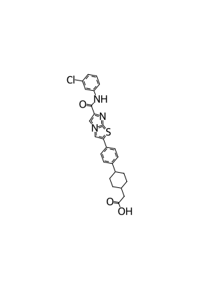 O=C(O)CC1CCC(c2ccc(-c3cn4cc(C(=O)Nc5cccc(Cl)c5)nc4s3)cc2)CC1